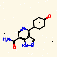 NC(=O)c1cnc(C2CCC(=O)CC2)c2cn[nH]c12